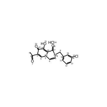 CC(=O)c1cn2ccn(Cc3cccc(Cl)c3)c(=O)c2c(O)c1=O.Cl